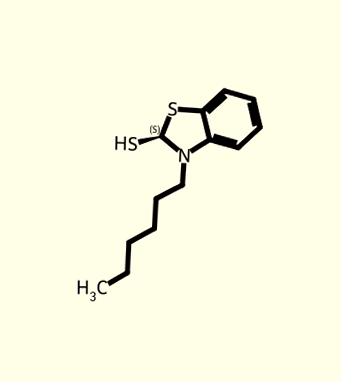 CCCCCCN1c2ccccc2S[C@@H]1S